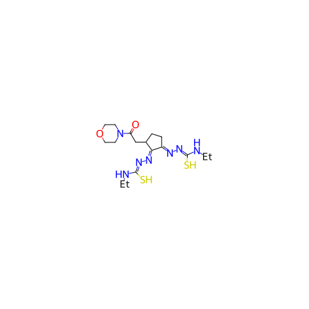 CCN/C(S)=N/N=C1\CCC(CC(=O)N2CCOCC2)\C1=N/N=C(\S)NCC